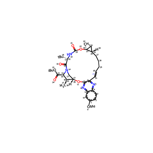 COc1ccc2nc3c(nc2c1)O[C@H]1CN(C(=O)[C@H](C(C)(C)C)NC(=O)O[C@@]2(C)C[C@@H]2CCC/C=C/3)[C@H](C(=O)OCC(C)C)[C@@H]1C